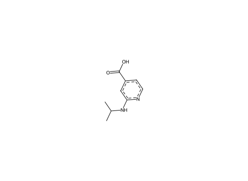 CC(C)Nc1cc(C(=O)O)ccn1